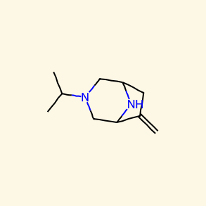 C=C1CC2CN(C(C)C)CC1N2